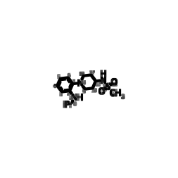 CC(C)Nc1ccccc1N1CCC(NS(C)(=O)=O)CC1